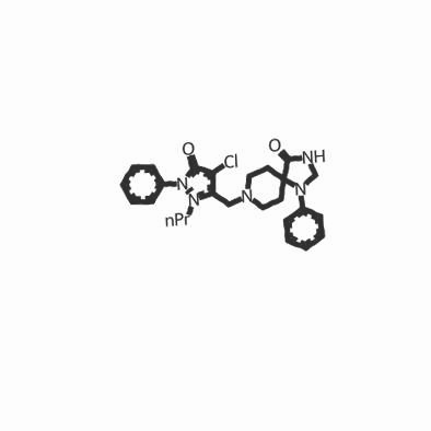 CCCn1c(CN2CCC3(CC2)C(=O)NCN3c2ccccc2)c(Cl)c(=O)n1-c1ccccc1